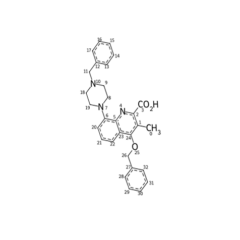 Cc1c(C(=O)O)nc2c(N3CCN(Cc4ccccc4)CC3)cccc2c1OCc1ccccc1